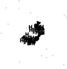 CC(C)[C@@H](NC(=O)C1CC1)C(=O)N1CCC[C@H]1c1ncc(C#Cc2ccc(-c3cnc([C@@H]4CCCN4C(=O)C(C)(C)NC(=O)C4CC4)[nH]3)cc2)[nH]1